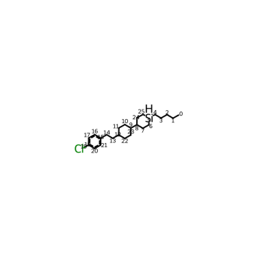 CCCCC[SiH]1CCC(C2CCC(CCc3ccc(Cl)cc3)CC2)CC1